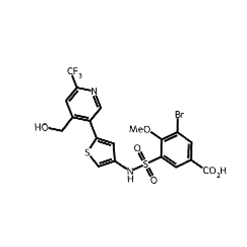 COc1c(Br)cc(C(=O)O)cc1S(=O)(=O)Nc1csc(-c2cnc(C(F)(F)F)cc2CO)c1